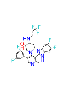 Cc1ncc(-c2cc(F)cc(F)c2)c(N2CC[C@@H](NCCC(F)(F)F)[C@@H](O)C2)c1-c1nc2cc(F)c(F)cc2[nH]1